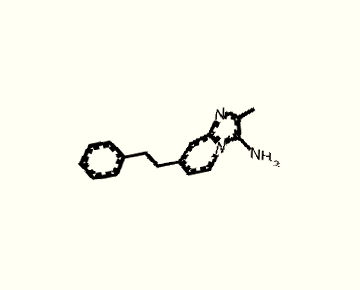 Cc1nc2cc(CCc3ccccc3)ccn2c1N